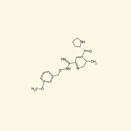 [CH2]C1CN=C(C(=N)NOCc2cccc(OC)c2)C=C1C(=O)[C@@H]1CCCN1